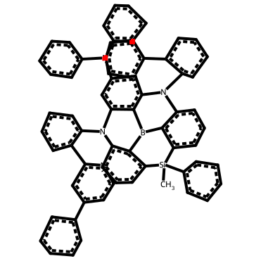 C[Si]1(c2ccccc2)c2cccc3c2B2c4c(cc(N(c5ccccc5)c5ccccc5)cc4N(c4ccccc4-c4cc(-c5ccccc5)ccn4)c4cccc1c42)N3c1ccccc1-c1ccccn1